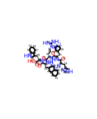 N=C(N)NCCC[C@H](NC(=O)[C@@H](Cc1ccccc1)NC(=O)[C@@H](N)Cc1c[nH]cn1)C(=O)N[C@@H](Cc1ccc2ccccc2c1)C(=O)N[C@H](Cc1c[nH]c2ccccc12)C(=O)O